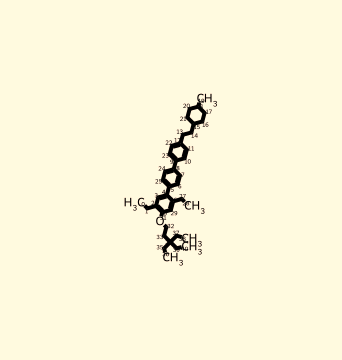 CCc1cc(-c2ccc(-c3ccc(CCC4CCC(C)CC4)cc3)cc2)c(CC)cc1OCCC(CC)(CC)CC